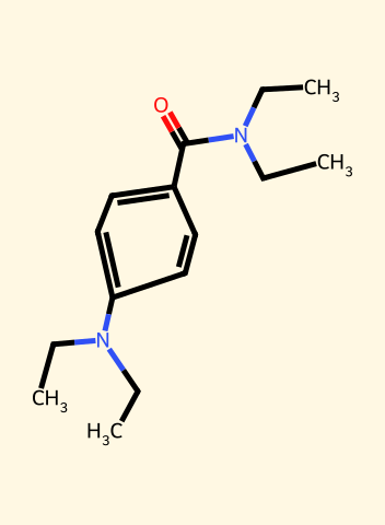 CCN(CC)C(=O)c1ccc(N(CC)CC)cc1